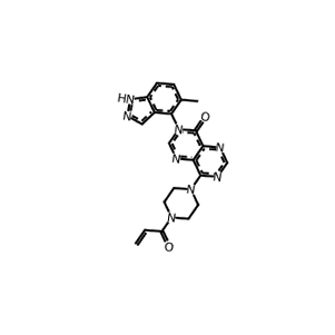 C=CC(=O)N1CCN(c2ncnc3c(=O)n(-c4c(C)ccc5[nH]ncc45)cnc23)CC1